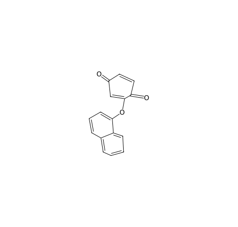 O=C1C=CC(=O)C(Oc2cccc3ccccc23)=C1